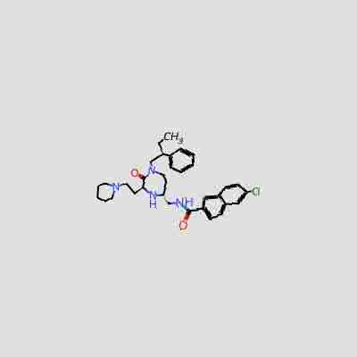 CC[C@H](CN1CC[C@H](CNC(=O)c2ccc3cc(Cl)ccc3c2)N[C@@H](CCN2CCCCC2)C1=O)c1ccccc1